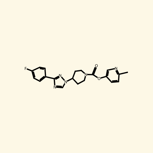 Cc1ccc(OC(=O)N2CCC(n3cnc(-c4ccc(F)cc4)n3)CC2)cn1